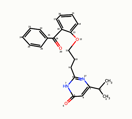 CC(C)c1cc(=O)[nH]c(CCCOc2ccccc2C(=O)c2ccccc2)n1